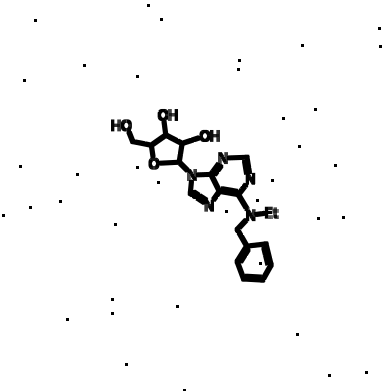 CCN(Cc1ccccc1)c1ncnc2c1ncn2C1OC(CO)C(O)C1O